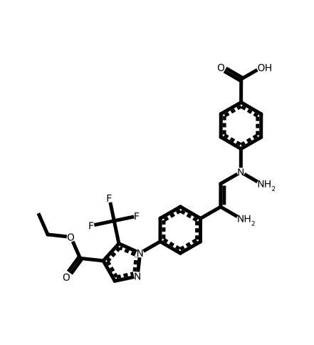 CCOC(=O)c1cnn(-c2ccc(/C(N)=C/N(N)c3ccc(C(=O)O)cc3)cc2)c1C(F)(F)F